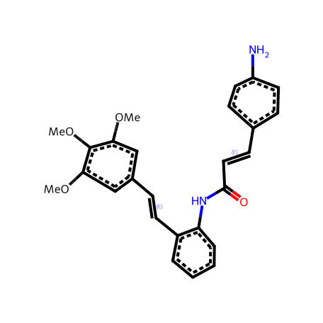 COc1cc(/C=C/c2ccccc2NC(=O)/C=C/c2ccc(N)cc2)cc(OC)c1OC